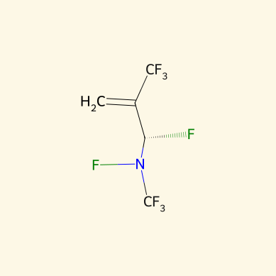 C=C([C@H](F)N(F)C(F)(F)F)C(F)(F)F